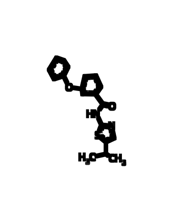 CC(C)c1cnc(NC(=O)c2cccc(Oc3ccccc3)c2)s1